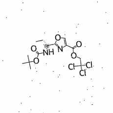 CC[C@@H](NC(=O)OC(C)(C)C)c1nc(C(=O)OCC(Cl)(Cl)Cl)co1